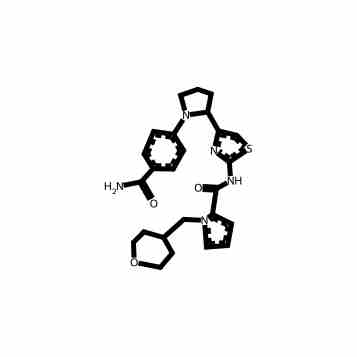 NC(=O)c1ccc(N2CCCC2c2csc(NC(=O)c3cccn3CC3CCOCC3)n2)cc1